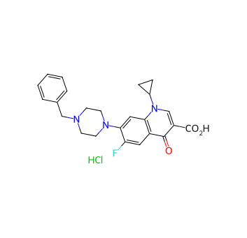 Cl.O=C(O)c1cn(C2CC2)c2cc(N3CCN(Cc4ccccc4)CC3)c(F)cc2c1=O